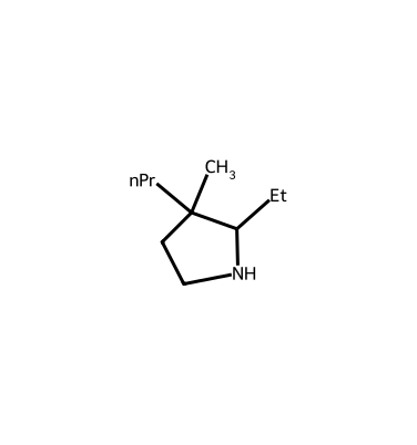 CCCC1(C)CCNC1CC